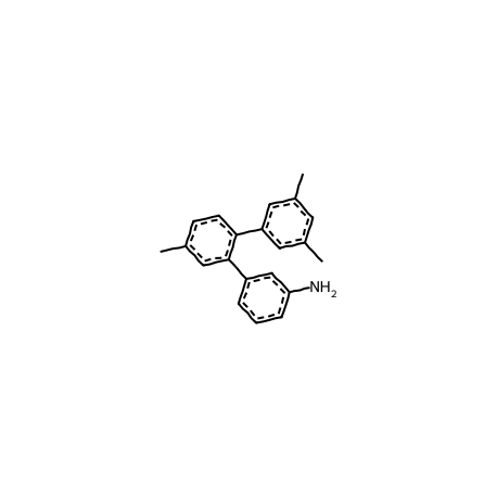 Cc1cc(C)cc(-c2ccc(C)cc2-c2cccc(N)c2)c1